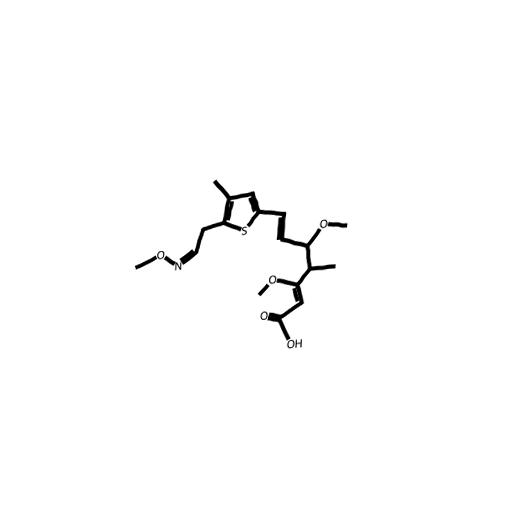 CO/N=C\Cc1sc(C=CC(OC)C(C)C(=CC(=O)O)OC)cc1C